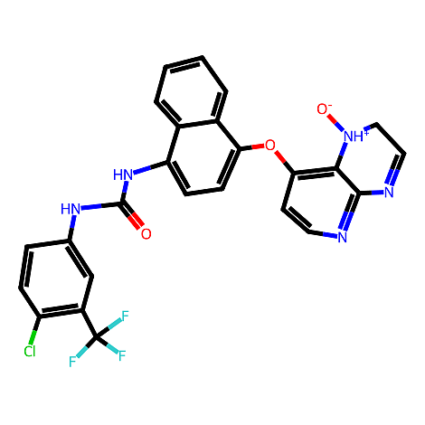 O=C(Nc1ccc(Cl)c(C(F)(F)F)c1)Nc1ccc(Oc2ccnc3c2[NH+]([O-])CC=N3)c2ccccc12